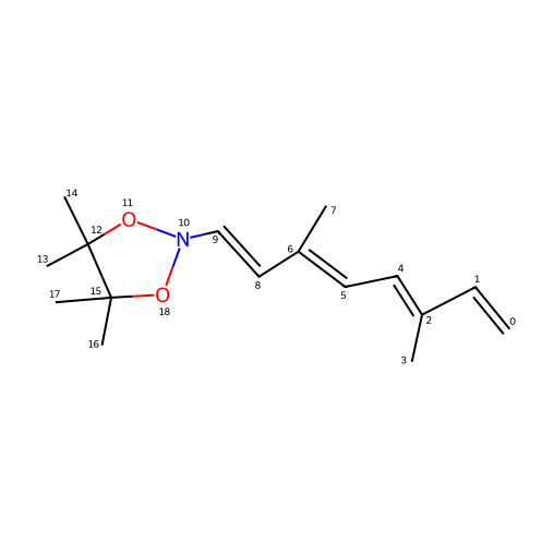 C=C/C(C)=C/C=C(C)/C=C/N1OC(C)(C)C(C)(C)O1